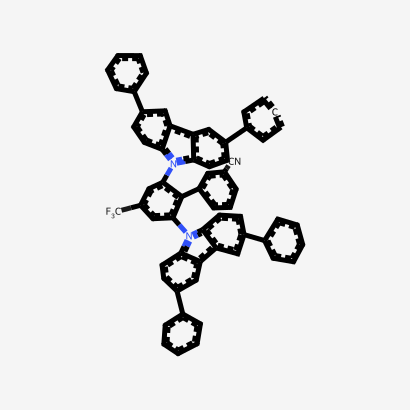 N#Cc1cccc(-c2c(-n3c4ccc(-c5ccccc5)cc4c4cc(-c5ccccc5)ccc43)cc(C(F)(F)F)cc2-n2c3ccc(-c4ccccc4)cc3c3cc(-c4ccccc4)ccc32)c1